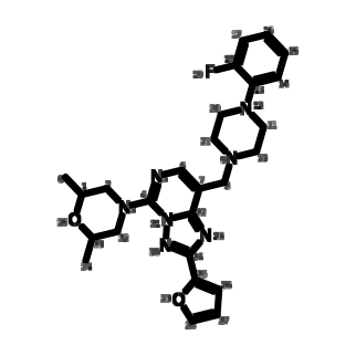 CC1CN(c2ncc(CN3CCN(c4ccccc4F)CC3)c3nc(-c4ccco4)nn23)CC(C)O1